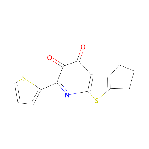 O=C1C(=O)c2c(sc3c2CCC3)N=C1c1cccs1